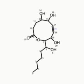 CCCCCC(O)C1OC(=O)CCC(O)C(O)/C=C\C1O